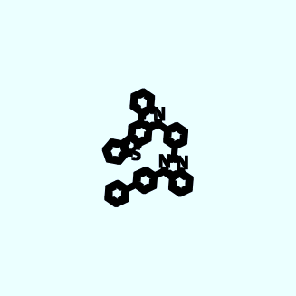 c1ccc(-c2ccc(-c3nc(-c4cccc(-c5nc6ccccc6c6cc7c(cc56)sc5ccccc57)c4)nc4ccccc34)cc2)cc1